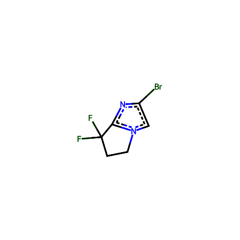 FC1(F)CCn2cc(Br)nc21